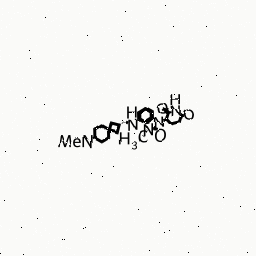 CN[C@H]1CCC2(CC1)C[C@@H](CNc1cccc3c1n(C)c(=O)n3C1CCC(=O)NC1=O)C2